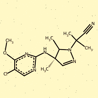 COc1nc(N[C@]2(C)C=NN(C(C)(C)C#N)C2C)ncc1Cl